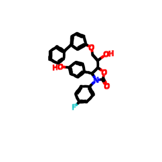 O=C1OC(C(O)COc2cccc(-c3ccccc3)c2)C(c2ccc(O)cc2)N1c1ccc(F)cc1